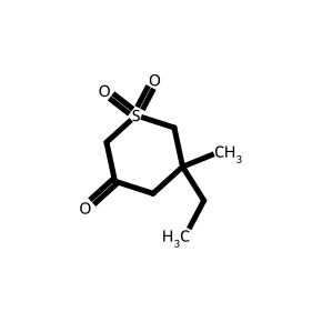 CCC1(C)CC(=O)CS(=O)(=O)C1